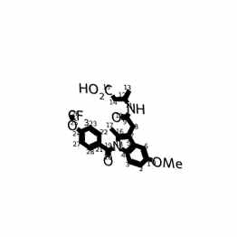 COc1ccc2c(c1)c(CC(=O)NC(C)CC(=O)O)c(C)n2C(=O)c1ccc(OC(F)(F)F)cc1